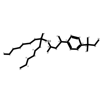 CCCCCCCC(C)(CCCCCC)NC(C)CC(C)c1ccc(C(C)(C)CC)cc1